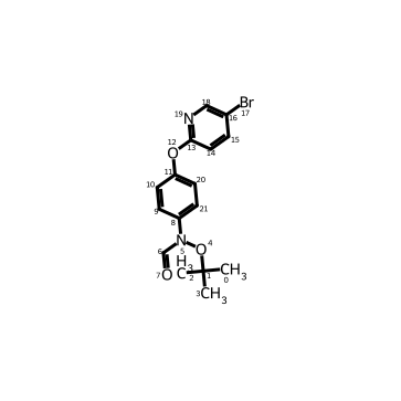 CC(C)(C)ON(C=O)c1ccc(Oc2ccc(Br)cn2)cc1